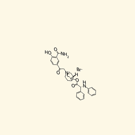 NC(=O)c1cc(C(=O)C[N+]23CCC(CC2)[C@@H](OC(=O)[C@H](Nc2ccccc2)c2ccccc2)C3)ccc1O.[Br-]